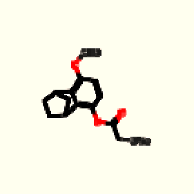 COCC(=O)Oc1ccc(OC=O)c2c1C1CCC2C1